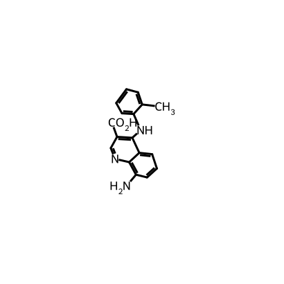 Cc1ccccc1Nc1c(C(=O)O)cnc2c(N)cccc12